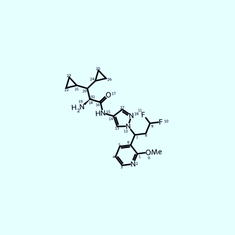 COc1ncccc1C(CC(F)F)n1cc(NC(=O)[C@@H](N)C(C2CC2)C2CC2)cn1